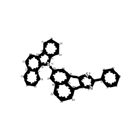 c1ccc(-c2nc3c(s2)-c2cc(-n4c5ccccc5c5ccc6ccccc6c54)cc4cccc-3c24)cc1